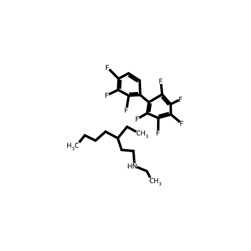 CCCCC(CC)CCNCC.Fc1ccc(-c2c(F)c(F)c(F)c(F)c2F)c(F)c1F